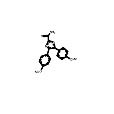 COc1ccc(-c2nc(C(N)=O)sc2-c2ccc(OC)cc2)cc1